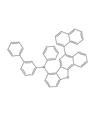 c1ccc(-c2cccc(N(c3ccccc3)c3cccc4oc5c6ccccc6c(-c6cccc7ccccc67)cc5c34)c2)cc1